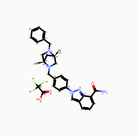 NC(=O)c1cccc2cn(-c3ccc(CN4C[C@@H]5C[C@H]4CN5Cc4ccccc4)cc3)nc12.O=C(O)C(F)(F)F